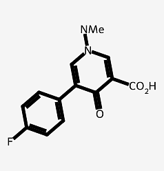 CNn1cc(C(=O)O)c(=O)c(-c2ccc(F)cc2)c1